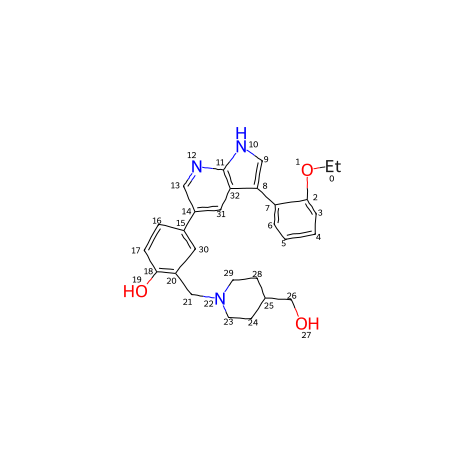 CCOc1ccccc1-c1c[nH]c2ncc(-c3ccc(O)c(CN4CCC(CO)CC4)c3)cc12